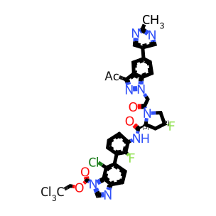 CC(=O)c1nn(CC(=O)N2C[C@H](F)C[C@H]2C(=O)Nc2cccc(-c3ccc4ncn(C(=O)OCC(Cl)(Cl)Cl)c4c3Cl)c2F)c2ccc(-c3cnc(C)nc3)cc12